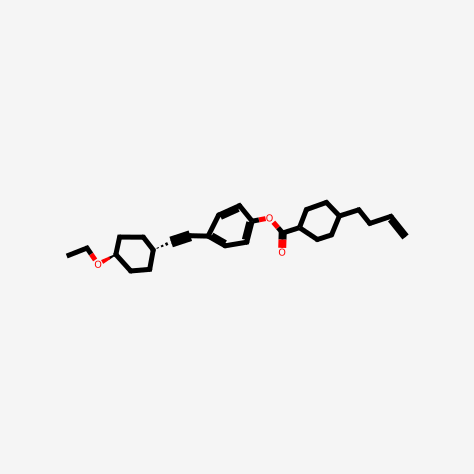 C=CCCC1CCC(C(=O)Oc2ccc(C#C[C@H]3CC[C@H](OCC)CC3)cc2)CC1